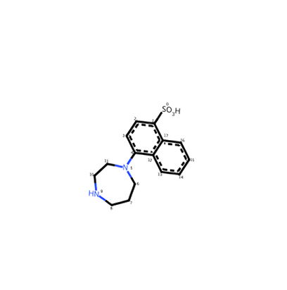 O=S(=O)(O)c1ccc(N2CCCNCC2)c2ccccc12